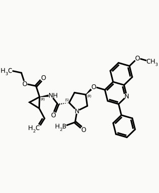 BC(=O)N1C[C@H](Oc2cc(-c3ccccc3)nc3cc(OC)ccc23)C[C@H]1C(=O)N[C@]1(C(=O)OCC)CC1C=C